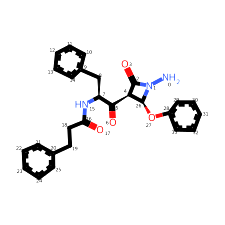 NN1C(=O)[C@H](C(=O)[C@H](Cc2ccccc2)NC(=O)CCc2ccccc2)[C@@H]1Oc1ccccc1